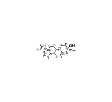 CC(O)[C@H]1CCC2C3CC=C4CC(O)(O)CCC4C3CCC21C